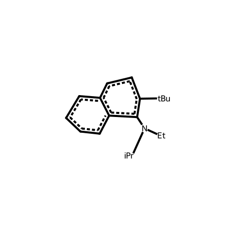 CCN(c1c(C(C)(C)C)ccc2ccccc12)C(C)C